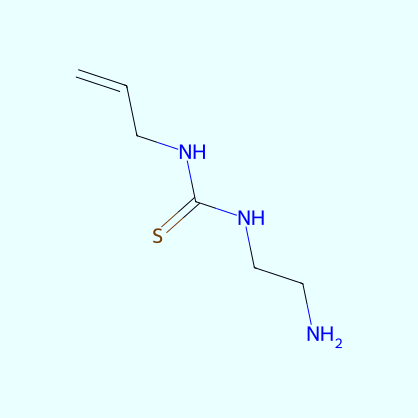 C=CCNC(=S)NCCN